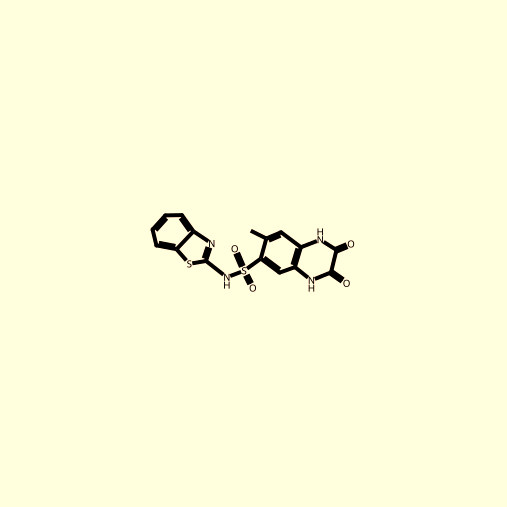 Cc1cc2[nH]c(=O)c(=O)[nH]c2cc1S(=O)(=O)Nc1nc2ccccc2s1